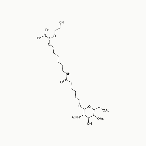 CC(=O)NC1C(OCCCCCC(=O)NCCCCCCOP(OCCC#N)N(C(C)C)C(C)C)OC(COC(C)=O)C(OC(C)=O)C1O